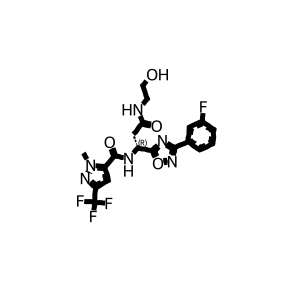 Cn1nc(C(F)(F)F)cc1C(=O)N[C@H](CC(=O)NCCO)c1nc(-c2cccc(F)c2)no1